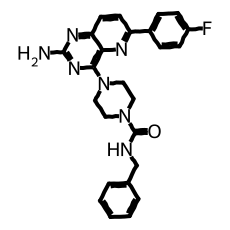 Nc1nc(N2CCN(C(=O)NCc3ccccc3)CC2)c2nc(-c3ccc(F)cc3)ccc2n1